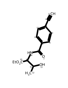 C#Cc1ccc(C(=O)NC(C(=O)OCC)C(C)O)cc1